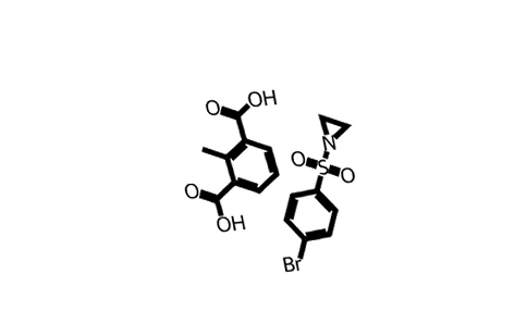 Cc1c(C(=O)O)cccc1C(=O)O.O=S(=O)(c1ccc(Br)cc1)N1CC1